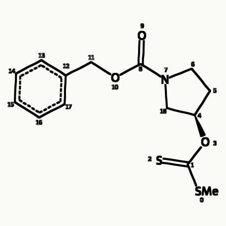 CSC(=S)O[C@@H]1CCN(C(=O)OCc2ccccc2)C1